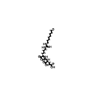 N=C(NCCCCCCCC=O)NCCCC[C@H](NC(=O)N[C@@H](CCC(=O)O)C(=O)O)C(=O)O